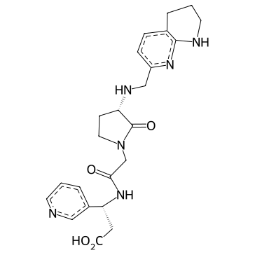 O=C(O)C[C@@H](NC(=O)CN1CC[C@H](NCc2ccc3c(n2)NCCC3)C1=O)c1cccnc1